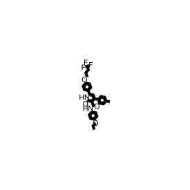 CCOc1ccc(NC(=O)c2c(-c3ccc(C)cc3)cc(-c3ccc(OCCCC(F)(F)F)cc3)[nH]c2=O)cc1